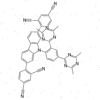 Cc1nc(C)nc(-c2ccc(-n3c4cc(-c5ccc(C#N)cc5C#N)ccc4c4ccc(-c5ccc(C#N)cc5C#N)cc43)c(-c3nc(C)nc(C)n3)c2)n1